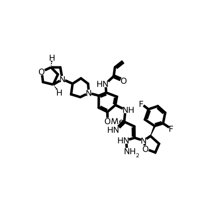 C=CC(=O)Nc1cc(NC(=N)/C=C(\NN)N2OCC[C@@H]2c2cc(F)ccc2F)c(OC)cc1N1CCC(N2C[C@H]3C[C@@H]2CO3)CC1